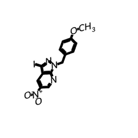 COc1ccc(Cn2nc(I)c3cc([N+](=O)[O-])cnc32)cc1